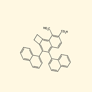 O=C(O)c1ccc2c(-c3cccc4ccccc34)c(-c3cccc4ccccc34)c3c(c2c1C(=O)O)CC3